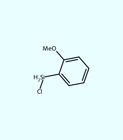 COc1ccccc1[SiH2]Cl